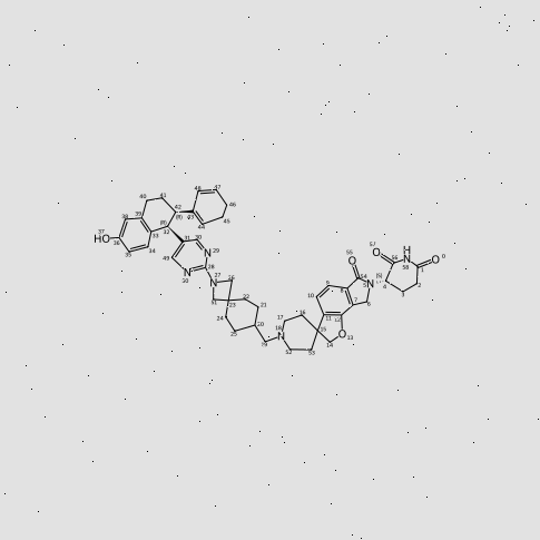 O=C1CC[C@H](N2Cc3c(ccc4c3OCC43CCN(CC4CCC5(CC4)CN(c4ncc([C@H]6c7ccc(O)cc7CC[C@H]6C6=CCCC=C6)cn4)C5)CC3)C2=O)C(=O)N1